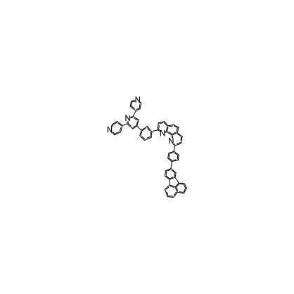 c1cc(-c2cc(-c3ccncc3)nc(-c3ccncc3)c2)cc(-c2ccc3ccc4ccc(-c5ccc(-c6ccc7c(c6)-c6cccc8cccc-7c68)cc5)nc4c3n2)c1